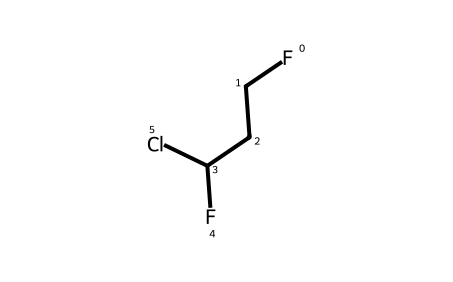 FCCC(F)Cl